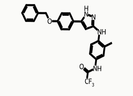 Cc1cc(NC(=O)C(F)(F)F)ccc1Nc1cc(-c2ccc(OCc3ccccc3)cc2)[nH]n1